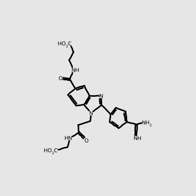 N=C(N)c1ccc(-c2nc3cc(C(=O)NCCC(=O)O)ccc3n2CCC(=O)NCC(=O)O)cc1